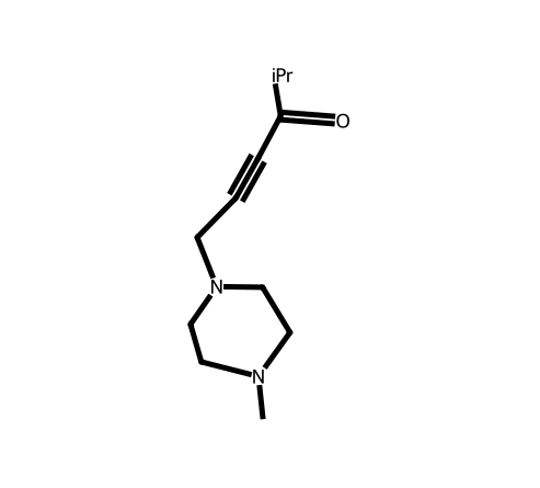 CC(C)C(=O)C#CCN1CCN(C)CC1